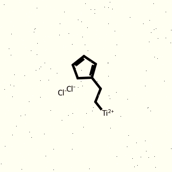 [Cl-].[Cl-].[Ti+2][CH2]CC1=CC=CC1